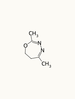 CC1=NN=C(C)OCC1